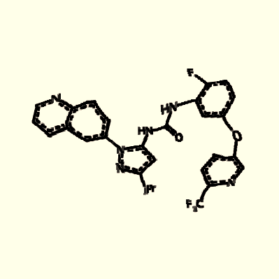 CC(C)c1cc(NC(=O)Nc2cc(Oc3ccc(C(F)(F)F)nc3)ccc2F)n(-c2ccc3ncccc3c2)n1